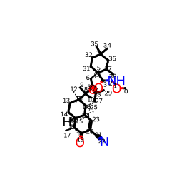 CONC(=O)[C@]1(CCC(C)(C)[C@]2(C)CC[C@H]3[C@H](C)C(=O)C(C#N)=C[C@]3(C)[C@H]2CC(C)=O)CCC(C)(C)CC1C